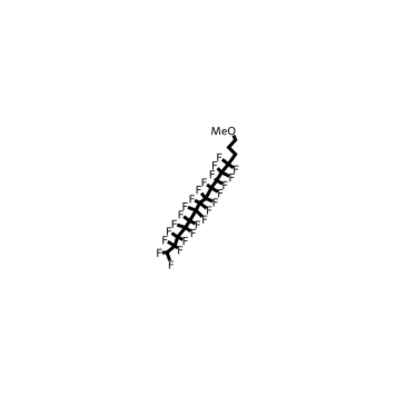 COCCCC(F)(F)C(F)(F)C(F)(F)C(F)(F)C(F)(F)C(F)(F)C(F)(F)C(F)(F)C(F)(F)C(F)(F)C(F)(F)C(F)F